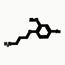 COc1cc(C(C)=O)ccc1OCCCN